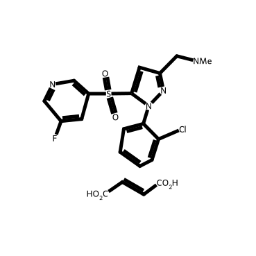 CNCc1cc(S(=O)(=O)c2cncc(F)c2)n(-c2ccccc2Cl)n1.O=C(O)/C=C/C(=O)O